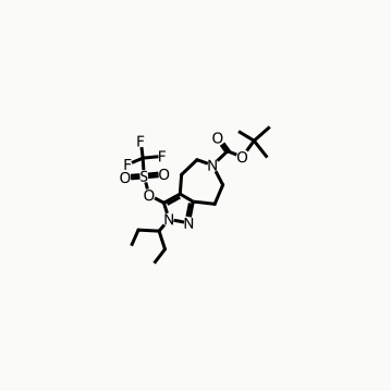 CCC(CC)n1nc2c(c1OS(=O)(=O)C(F)(F)F)CCN(C(=O)OC(C)(C)C)CC2